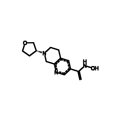 C=C(NO)c1cnc2c(c1)CCN([C@@H]1CCOC1)C2